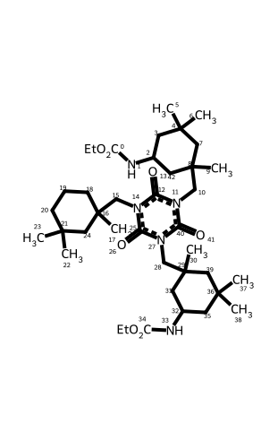 CCOC(=O)NC1CC(C)(C)CC(C)(Cn2c(=O)n(CC3(C)CCCC(C)(C)C3)c(=O)n(CC3(C)CC(NC(=O)OCC)CC(C)(C)C3)c2=O)C1